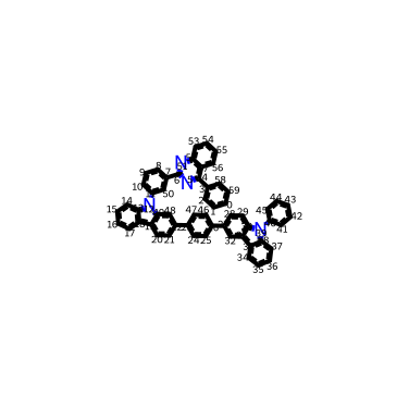 c1ccc(-c2nc(-c3cccc(-n4c5ccccc5c5ccc(-c6ccc(-c7ccc8c(c7)c7ccccc7n8-c7ccccc7)cc6)cc54)c3)nc3ccccc23)cc1